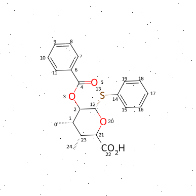 C[C@@H]1C(OC(=O)c2ccccc2)[C@H](Sc2ccccc2)OC(C(=O)O)[C@@H]1C